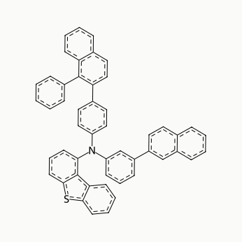 c1ccc(-c2c(-c3ccc(N(c4cccc(-c5ccc6ccccc6c5)c4)c4cccc5sc6ccccc6c45)cc3)ccc3ccccc23)cc1